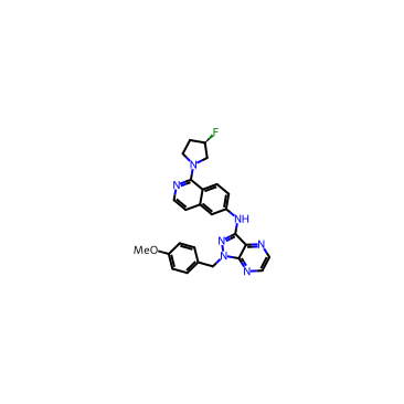 COc1ccc(Cn2nc(Nc3ccc4c(N5CC[C@@H](F)C5)nccc4c3)c3nccnc32)cc1